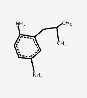 CC(C)Cc1cc(N)ccc1N